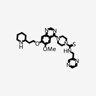 COc1cc2c(N3CCN(C(=S)NCc4cnccn4)CC3)ncnc2cc1OCCC1CCCCN1